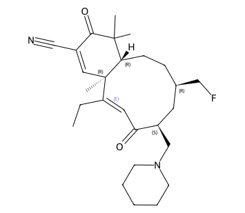 CC/C1=C\C(=O)[C@H](CN2CCCCC2)C[C@H](CF)CC[C@H]2C(C)(C)C(=O)C(C#N)=C[C@]12C